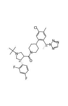 Cc1cc([C@@H](C)n2ncnn2)c(C2CCN(C(=O)C3CN(C(C)(C)C)C[C@H]3c3ccc(F)cc3F)CC2)cc1Cl